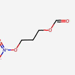 O=COCCCO[N+](=O)[O-]